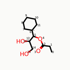 CCC(=O)OC([C]1CCCCC1)C(O)CO